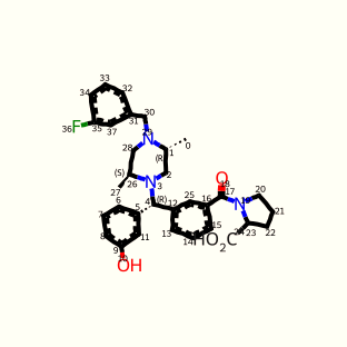 C[C@@H]1CN([C@@H](c2cccc(O)c2)c2cccc(C(=O)N3CCCC3C(=O)O)c2)[C@@H](C)CN1Cc1cccc(F)c1